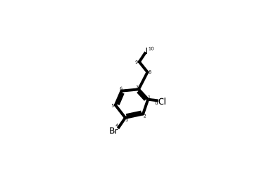 Clc1cc(Br)ccc1CCI